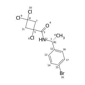 C[C@@H](NC(=O)C1(Cl)CC(Cl)(Cl)C1)c1ccc(Br)cc1